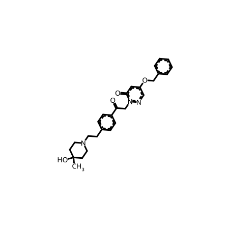 CC1(O)CCN(CCc2ccc(C(=O)Cn3ncc(OCc4ccccc4)cc3=O)cc2)CC1